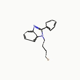 BrCCCCn1c(-c2ccccc2)nc2ccccc21